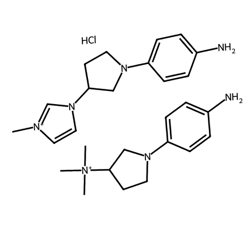 C[N+](C)(C)C1CCN(c2ccc(N)cc2)C1.C[n+]1ccn(C2CCN(c3ccc(N)cc3)C2)c1.Cl